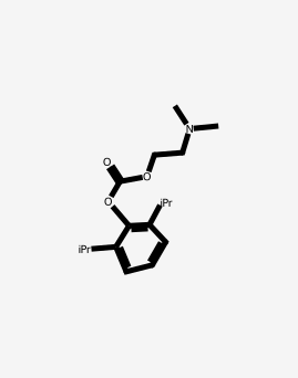 CC(C)c1cccc(C(C)C)c1OC(=O)OCCN(C)C